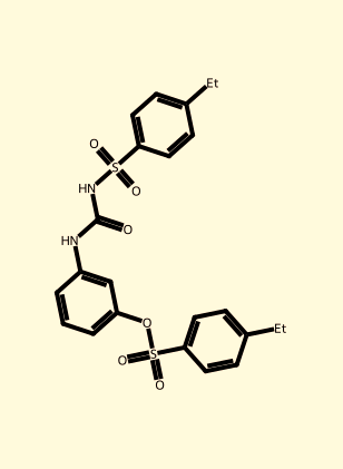 CCc1ccc(S(=O)(=O)NC(=O)Nc2cccc(OS(=O)(=O)c3ccc(CC)cc3)c2)cc1